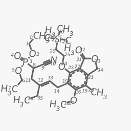 CCOP(=O)(OCC)C(C#N)C/C(=C/Cc1c(OC)c(C)c2c(c1OCC[Si](C)(C)C)C(=O)OC2)CC